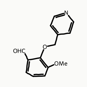 COc1cccc(C=O)c1OCc1ccncc1